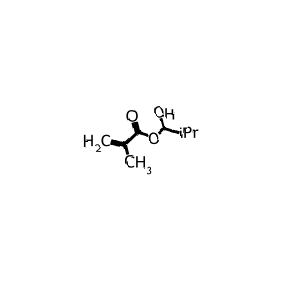 C=C(C)C(=O)OC(O)C(C)C